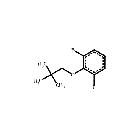 CC(C)(C)COc1c(F)cccc1F